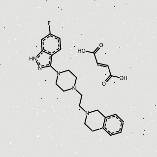 Fc1ccc2c(N3CCN(CCN4CCc5ccccc5C4)CC3)n[nH]c2c1.O=C(O)C=CC(=O)O